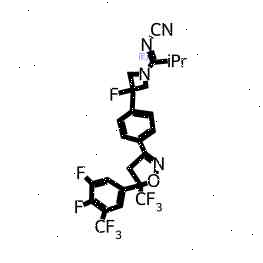 CC(C)/C(=N\C#N)N1CC(F)(c2ccc(C3=NOC(c4cc(F)c(F)c(C(F)(F)F)c4)(C(F)(F)F)C3)cc2)C1